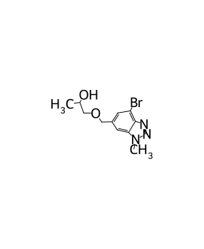 CC(O)COCc1cc(Br)c2nnn(C)c2c1